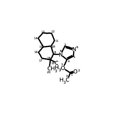 CC(=O)Oc1cncn1C1C2CCCCC2CCC1(C)C